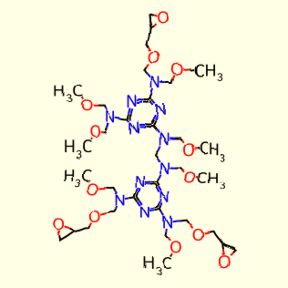 COCN(COC)c1nc(N(COC)COCC2CO2)nc(N(COC)CN(COC)c2nc(N(COC)COCC3CO3)nc(N(COC)COCC3CO3)n2)n1